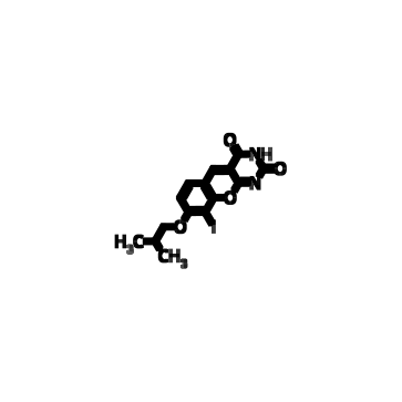 CC(C)COc1ccc2cc3c(=O)[nH]c(=O)nc-3oc2c1I